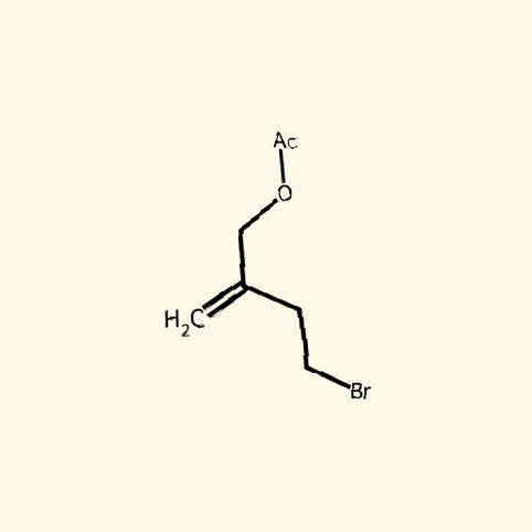 C=C(CCBr)COC(C)=O